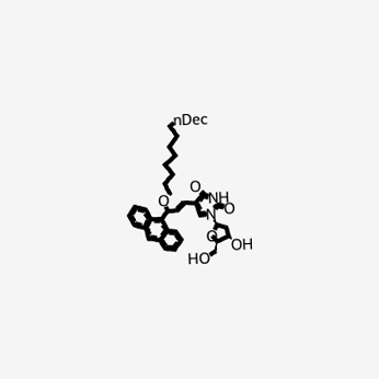 CCCCCCCCCCCCCCCCCCOC(/C=C/c1cn([C@H]2C[C@H](O)[C@@H](CO)O2)c(=O)[nH]c1=O)c1c2ccccc2cc2ccccc12